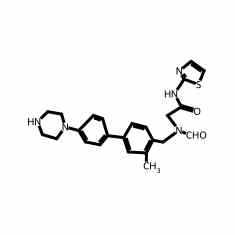 Cc1cc(-c2ccc(N3CCNCC3)cc2)ccc1CN(C=O)CC(=O)Nc1nccs1